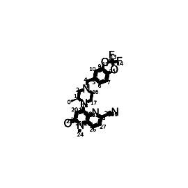 C[C@H]1CN(Cc2ccc3c(c2)OC(F)(F)O3)CCN1c1cc(=O)n(C)c2ccc(C#N)nc12